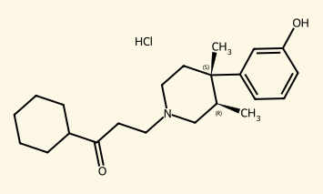 C[C@H]1CN(CCC(=O)C2CCCCC2)CC[C@]1(C)c1cccc(O)c1.Cl